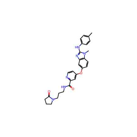 Cc1ccc(Nc2nc3cc(Oc4ccnc(C(=O)NCCCN5CCCC5=O)c4)ccc3n2C)cc1